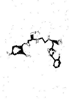 C=C(COc1ccc(C)cc1C)NCCNC(=C)c1nc(-c2ccccc2F)no1